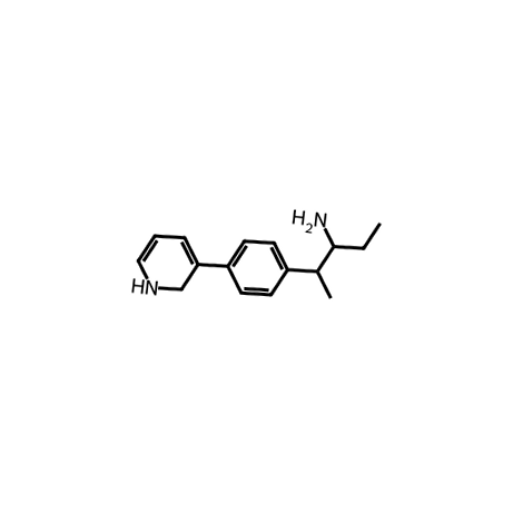 CCC(N)C(C)c1ccc(C2=CC=CNC2)cc1